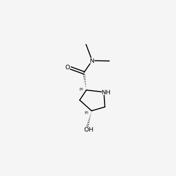 CN(C)C(=O)[C@H]1C[C@@H](O)CN1